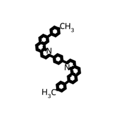 Cc1ccc(-c2ccc3ccc4ccc(-c5ccc(-c6ccc7ccc8ccc(-c9ccc(C)cc9)cc8c7n6)cc5)nc4c3c2)cc1